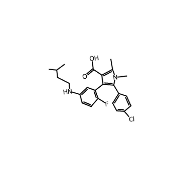 Cc1c(C(=O)O)c(-c2cc(NCCC(C)C)ccc2F)c(-c2ccc(Cl)cc2)n1C